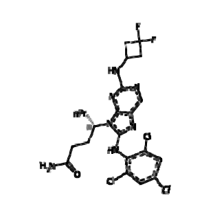 CCC[C@@H](CCC(N)=O)n1c(Nc2c(Cl)cc(Cl)cc2Cl)nc2cnc(NC3CC(F)(F)C3)nc21